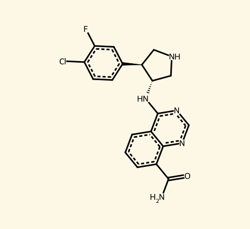 NC(=O)c1cccc2c(N[C@H]3CNC[C@@H]3c3ccc(Cl)c(F)c3)ncnc12